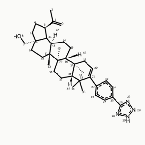 C=C(C)[C@@H]1CC[C@]2(CO)CC[C@]3(C)[C@H](CC[C@@H]4[C@@]5(C)CC=C(c6ccc(-c7nn[nH]n7)cc6)C(C)(C)[C@@H]5CC[C@]43C)C12